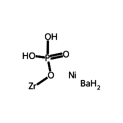 O=P(O)(O)[O][Zr].[BaH2].[Ni]